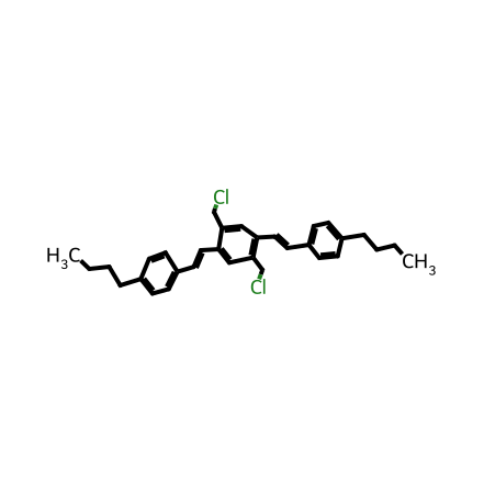 CCCCc1ccc(C=Cc2cc(CCl)c(C=Cc3ccc(CCCC)cc3)cc2CCl)cc1